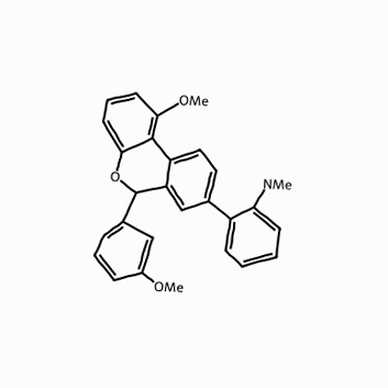 CNc1ccccc1-c1ccc2c(c1)C(c1cccc(OC)c1)Oc1cccc(OC)c1-2